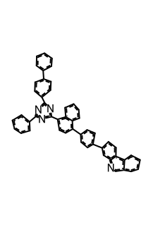 c1ccc(-c2ccc(-c3nc(-c4ccccc4)nc(-c4ccc(-c5ccc(-c6ccc7c(c6)ncc6ccccc67)cc5)c5ccccc45)n3)cc2)cc1